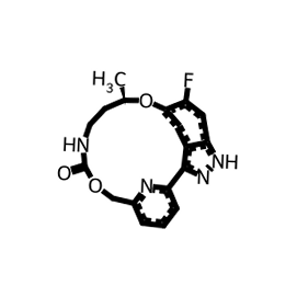 C[C@@H]1CCNC(=O)OCc2cccc(n2)-c2n[nH]c3cc(F)c(cc23)O1